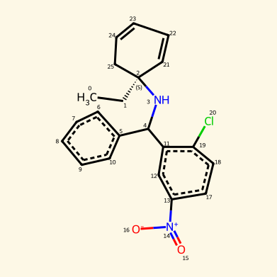 CC[C@@]1(NC(c2ccccc2)c2cc([N+](=O)[O-])ccc2Cl)C=CC=CC1